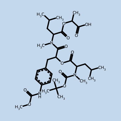 COC(=O)Nc1ccc(CC(OC(=O)C(CC(C)C)N(C)C(=O)OC(C)(C)C)C(=O)N(C)C(CC(C)C)C(=O)OC(C)C(=O)O)cc1